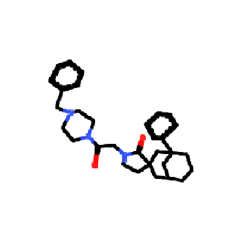 CCC1(C(=O)NCC(=O)N2CCN(Cc3ccccc3)CC2)CC2CCCC(c3ccccc3)(C2)C1